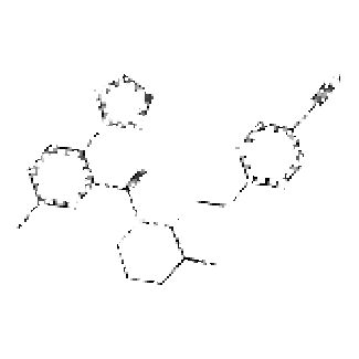 Cc1ccc(-n2nccn2)c(C(=O)N2CCCC(C)[C@H]2CNc2ncc(C#N)cn2)n1